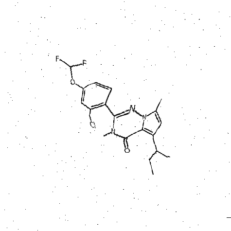 CCC(C)c1cc(C)n2nc(-c3ccc(OC(F)F)cc3Cl)n(C)c(=O)c12